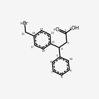 O=C(O)CC(c1ccccc1)c1ccc(CBr)cc1